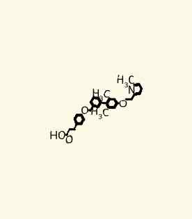 Cc1cccc(CCOc2cc(C)c(-c3cccc(COc4ccc(CCC(=O)O)cc4)c3)c(C)c2)n1